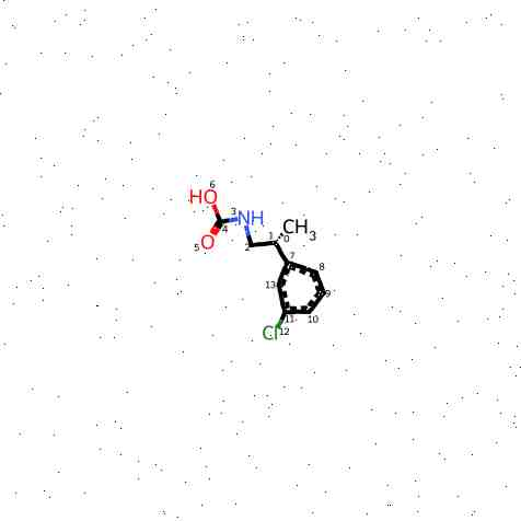 C[C@@H](CNC(=O)O)c1cccc(Cl)c1